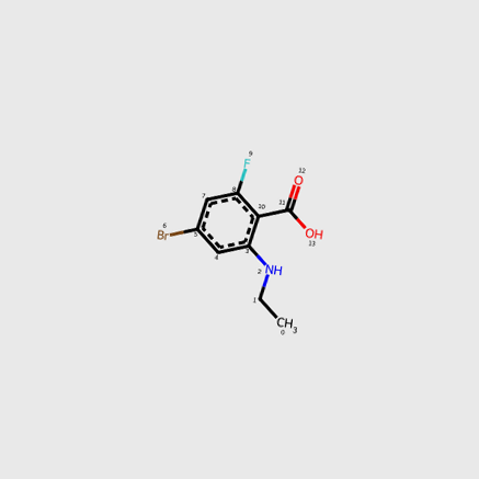 CCNc1cc(Br)cc(F)c1C(=O)O